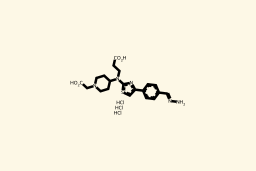 Cl.Cl.Cl.NN=Cc1ccc(-c2csc(N(CCC(=O)O)C3CCN(CC(=O)O)CC3)n2)cc1